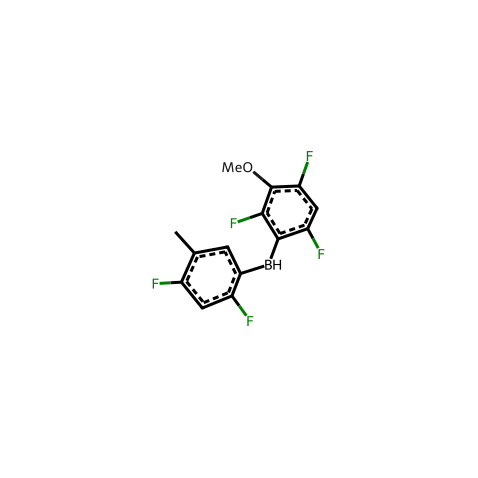 COc1c(F)cc(F)c(Bc2cc(C)c(F)cc2F)c1F